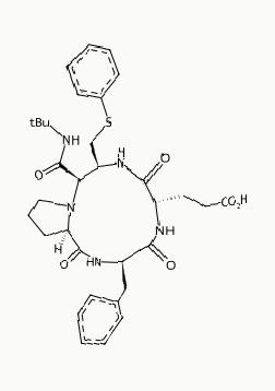 CC(C)(C)NC(=O)[C@H]1[C@@H](CSc2ccccc2)NC(=O)[C@H](CCC(=O)O)NC(=O)[C@@H](Cc2ccccc2)NC(=O)[C@H]2CCCN21